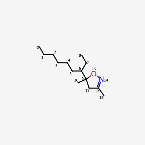 CCCCCCC(CC)C1(C)CC(C)=NO1